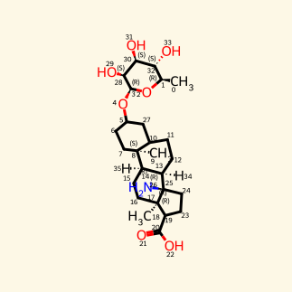 C[C@H]1O[C@@H](OC2CC[C@@]3(C)C(CC[C@@H]4[C@H]3CC[C@]3(C)C(C(=O)O)CC[C@@]43N)C2)[C@@H](O)[C@@H](O)[C@@H]1O